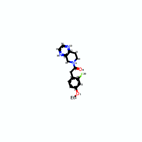 CCOc1ccc(CC(=O)N2CCc3nccnc3C2)c(F)c1